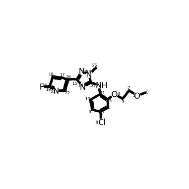 COCCOc1cc(Cl)ccc1Nc1nc(-c2ccc(F)nc2)nn1C